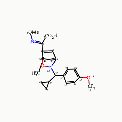 CON=C(C(=O)O)c1cc2cc(C)c1ON2C(c1ccc(OC(F)(F)F)cc1)C1CC1